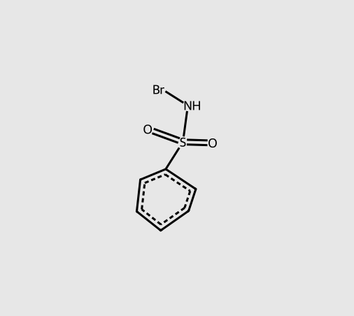 O=S(=O)(NBr)c1ccccc1